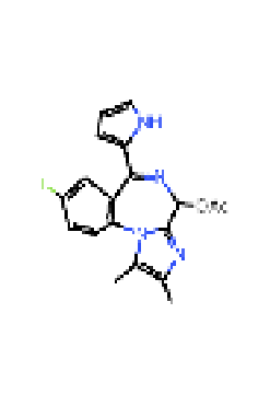 CC(=O)OC1N=C(c2ccc[nH]2)c2cc(F)ccc2-n2c1nc(C)c2C